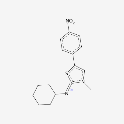 Cn1cc(-c2ccc([N+](=O)[O-])cc2)s/c1=N\C1CCCCC1